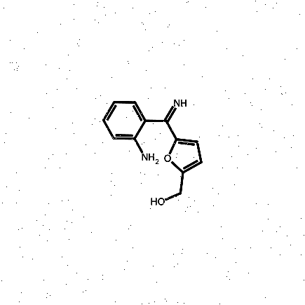 N=C(c1ccc(CO)o1)c1ccccc1N